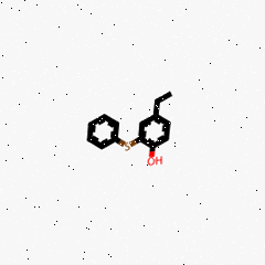 CCc1ccc(O)c(Sc2ccccc2)c1